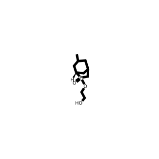 CC1CC2C[C@@H](C1)P(=O)(OCCO)C2